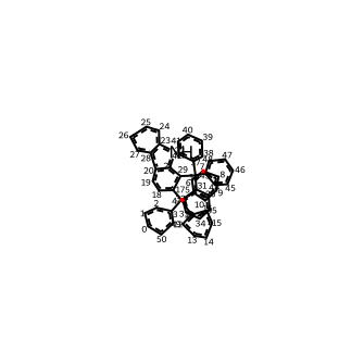 c1ccc(C(c2ccccc2)(c2ccccc2)c2ccc3c([nH]c4ccccc43)c2C(c2ccccc2)(c2ccccc2)c2ccccc2)cc1